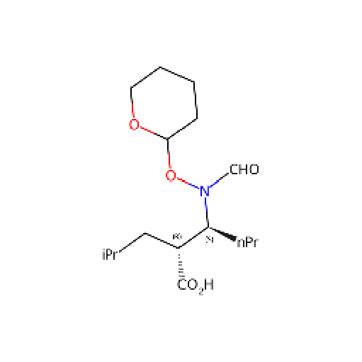 CCC[C@@H]([C@@H](CC(C)C)C(=O)O)N(C=O)OC1CCCCO1